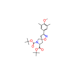 COc1c(C)cc(C2=NO[C@]3(C2)C[C@@H](C(=O)OC(C)(C)C)N(C(=O)OC(C)(C)C)C3)cc1C